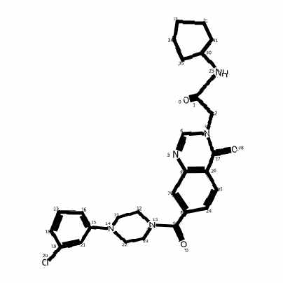 O=C(Cn1cnc2cc(C(=O)N3CCN(c4cccc(Cl)c4)CC3)ccc2c1=O)NC1CCCCC1